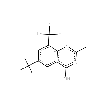 Cc1nc(N)c2cc(C(F)(F)F)cc(C(F)(F)F)c2n1